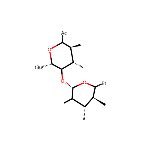 CCC1O[C@@H](OC2[C@@H](C)[C@H](C)C(C(C)=O)O[C@H]2C(C)(C)C)C(C)[C@@H](C)[C@@H]1C